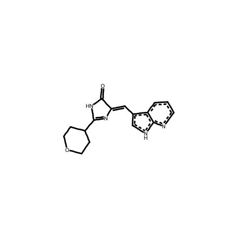 O=C1NC(C2CCOCC2)=N/C1=C\c1c[nH]c2ncccc12